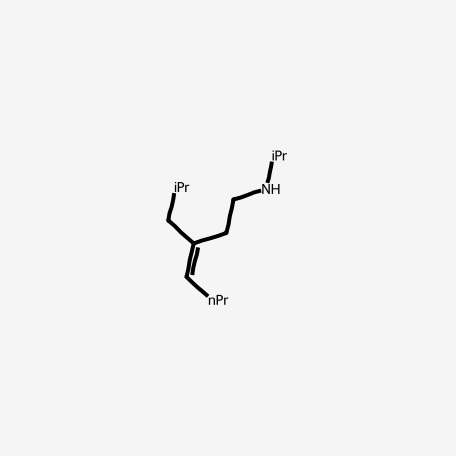 CCC/C=C(\CCNC(C)C)CC(C)C